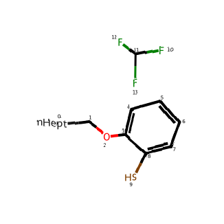 CCCCCCCCOc1ccccc1S.FC(F)F